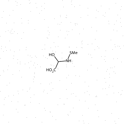 CSNC(O)C(=O)O